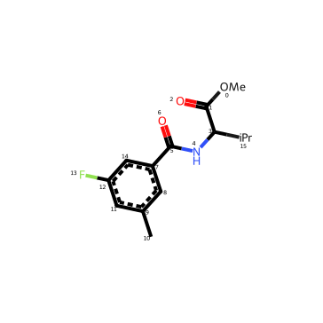 COC(=O)C(NC(=O)c1cc(C)cc(F)c1)C(C)C